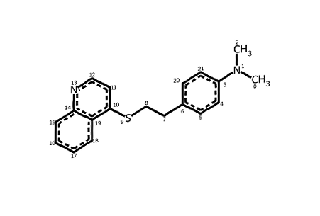 CN(C)c1ccc(CCSc2ccnc3ccccc23)cc1